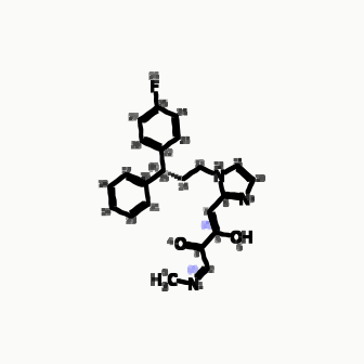 C/N=C\C(=O)/C(O)=C/c1nccn1CC[C@H](c1ccccc1)c1ccc(F)cc1